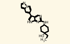 CC[C@]1(O)CC[C@@H](Nc2ncc3c(-c4ccn5nccc5c4)c[nH]c3n2)CC1